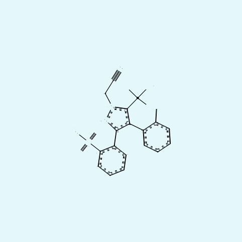 Cc1ccccc1-c1c(-c2ccccc2S(N)(=O)=O)nn(CC#N)c1C(F)(F)F